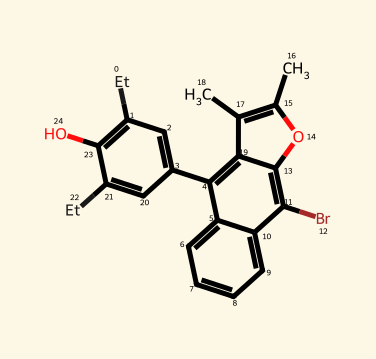 CCc1cc(-c2c3ccccc3c(Br)c3oc(C)c(C)c23)cc(CC)c1O